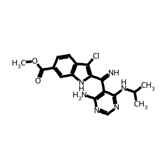 COC(=O)c1ccc2c(Cl)c(C(=N)c3c(N)ncnc3NC(C)C)[nH]c2c1